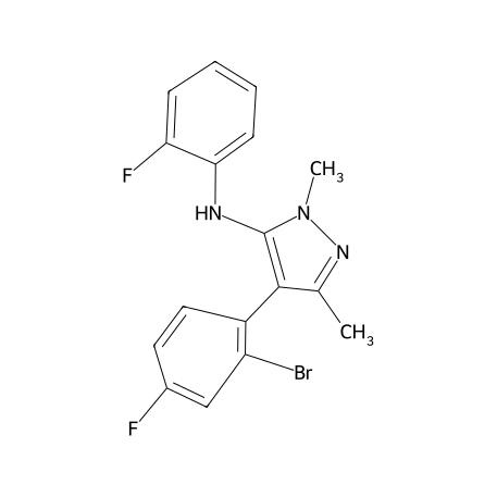 Cc1nn(C)c(Nc2ccccc2F)c1-c1ccc(F)cc1Br